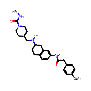 CCCNC(=O)N1CCC(CN(CC)C2CCc3ccc(NC(=O)Cc4ccc(OC)cc4)cc3C2)CC1